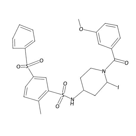 COc1cccc(C(=O)N2CCC(NS(=O)(=O)c3cc(S(=O)(=O)c4ccccc4)ccc3C)CC2I)c1